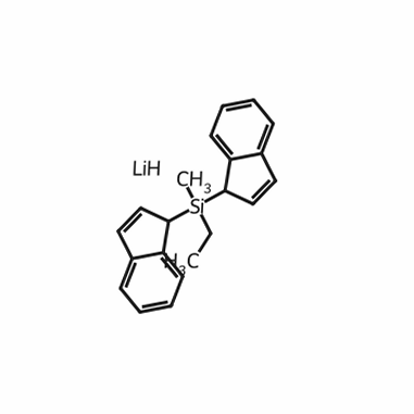 CC[Si](C)(C1C=Cc2ccccc21)C1C=Cc2ccccc21.[LiH]